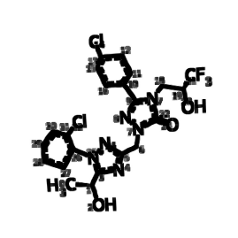 C[C@H](O)c1nc(Cn2nc(-c3ccc(Cl)cc3)n(C[C@H](O)C(F)(F)F)c2=O)nn1-c1ccccc1Cl